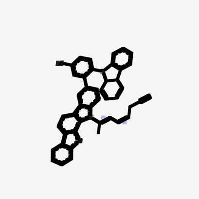 C#CC/C=C\C=C(/C)n1c2ccc(-c3cc(C#N)ccc3N3c4ccccc4C4C=CC=CC43)cc2c2ccc3c4ccccc4oc3c21